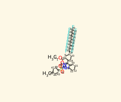 CCOC(=O)c1cc(C(F)(F)C(F)(F)C(F)(F)C(F)(F)C(F)(F)C(F)(F)C(F)(F)C(F)(F)F)ccc1C(=NNS(=O)(=O)c1ccc(C)cc1)c1ccccc1